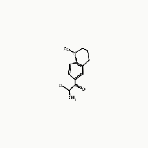 CC(=O)N1CCCc2cc(C(=O)C(C)Cl)ccc21